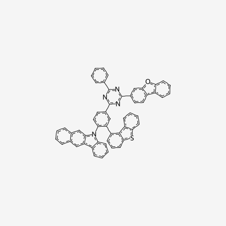 c1ccc(-c2nc(-c3ccc(-n4c5ccccc5c5cc6ccccc6cc54)c(-c4cccc5sc6ccccc6c45)c3)nc(-c3ccc4c(c3)oc3ccccc34)n2)cc1